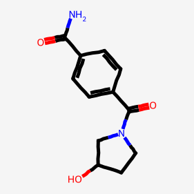 NC(=O)c1ccc(C(=O)N2CCC(O)C2)cc1